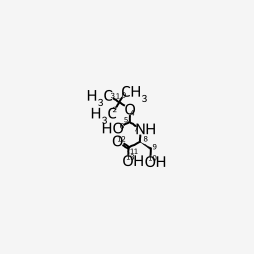 CC(C)(C)OC(O)N[C@@H](CO)C(=O)O